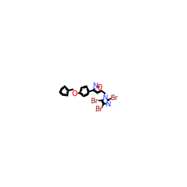 Brc1nc(Br)n(Cc2cc(-c3ccc(OCc4ccccc4)cc3)no2)c1Br